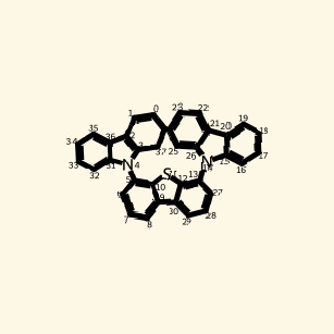 C1=Cc2c(n(-c3cccc4c3sc3c(-n5c6ccccc6c6ccccc65)cccc34)c3ccccc23)CC1